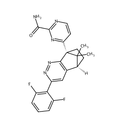 CC1(C)[C@H]2CC[C@]1(c1ccnc(C(N)=O)n1)c1nnc(-c3c(F)cccc3F)cc12